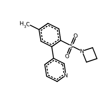 Cc1ccc(S(=O)(=O)N2CCC2)c(-c2cccnc2)c1